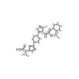 Cc1nsc(-c2ccc(-c3ncc(C4(C(=O)O)CC4)s3)cc2)c1NC(=O)O[C@H](C)c1ccccc1